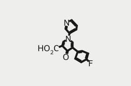 O=C(O)c1cn(-c2cccnc2)cc(-c2ccc(F)cc2)c1=O